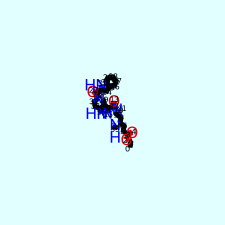 CCOC(=O)CCC(CCN(C)C(=O)c1n[nH]c2c1CN(C(=O)c1cc3ccccc3[nH]1)CC2)NC